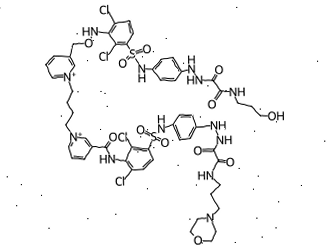 O=C(NCCCO)C(=O)NNc1ccc(NS(=O)(=O)c2ccc(Cl)c(NOCc3ccc[n+](CCCC[n+]4cccc(C(=O)Nc5c(Cl)ccc(S(=O)(=O)Nc6ccc(NNC(=O)C(=O)NCCCN7CCOCC7)cc6)c5Cl)c4)c3)c2Cl)cc1